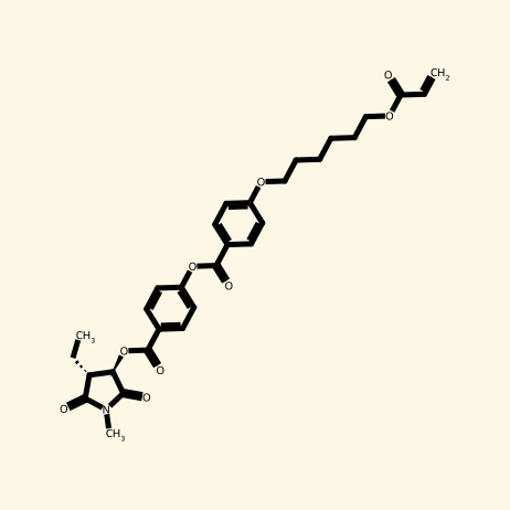 C=CC(=O)OCCCCCCOc1ccc(C(=O)Oc2ccc(C(=O)O[C@H]3C(=O)N(C)C(=O)[C@@H]3CC)cc2)cc1